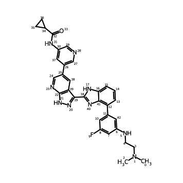 CN(C)CCNc1cc(F)cc(-c2cccc3[nH]c(-c4n[nH]c5ncc(-c6cncc(NC(=O)C7CC7)c6)cc45)nc23)c1